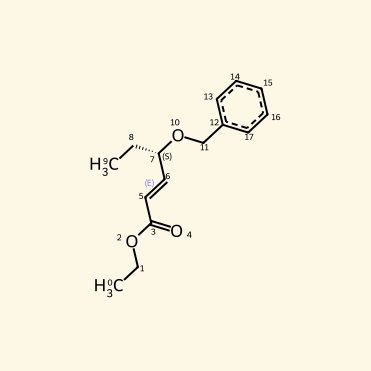 CCOC(=O)/C=C/[C@H](CC)OCc1ccccc1